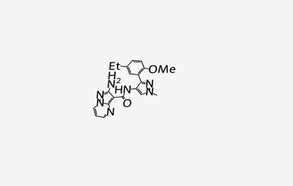 CCc1ccc(OC)c(-c2nn(C)cc2NC(=O)c2c(N)nn3cccnc23)c1